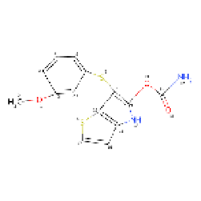 COc1cccc(Sc2c(OC(N)=O)[nH]c3ccsc23)c1